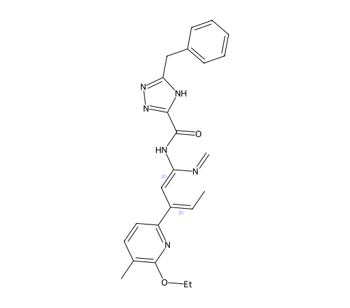 C=N/C(=C\C(=C/C)c1ccc(C)c(OCC)n1)NC(=O)c1nnc(Cc2ccccc2)[nH]1